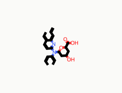 C=C/C=c1/nc(N(C(/C=C\C)=C/C)C2CC(O)CC(C(=O)O)O2)cc/c1=C/C